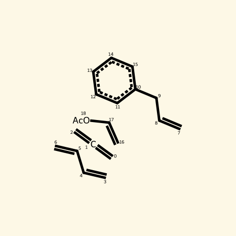 C=C=C.C=CC=C.C=CCc1ccccc1.C=COC(C)=O